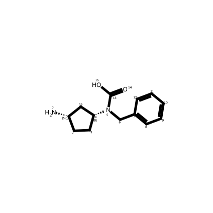 N[C@H]1CC[C@@H](N(Cc2ccccc2)C(=O)O)C1